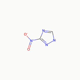 O=[N+]([O-])C1=N[N]C=N1